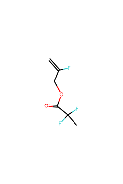 C=C(F)COC(=O)C(C)(F)F